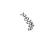 C/C=C/c1ccc(C2CCC(c3ccc(-c4ccc(OCC)c(F)c4F)c(F)c3F)CO2)cc1F